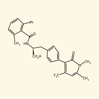 Cc1cccc(C(C)C)c1C(=O)N[C@@H](Cc1ccc(-c2c(C(F)(F)F)cc(C)n(C)c2=O)cc1)C(=O)O